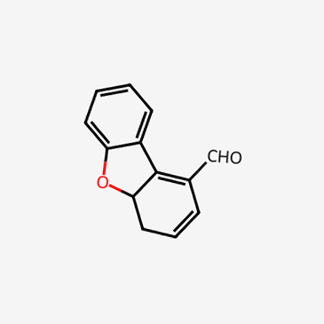 O=CC1=C2c3ccccc3OC2CC=C1